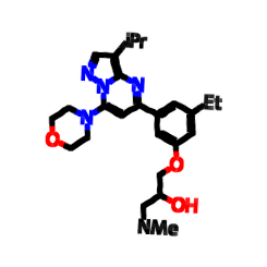 CCc1cc(OCC(O)CNC)cc(-c2cc(N3CCOCC3)n3ncc(C(C)C)c3n2)c1